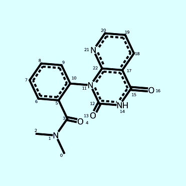 CN(C)C(=O)c1ccccc1-n1c(=O)[nH]c(=O)c2cccnc21